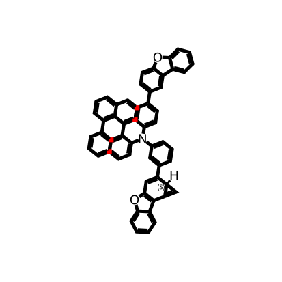 C1=C(c2cccc(N(c3ccc(-c4ccc5oc6ccccc6c5c4)cc3)c3ccccc3-c3cccc4cccc(-c5ccccc5)c34)c2)[C@@H]2C=C2c2c1oc1ccccc21